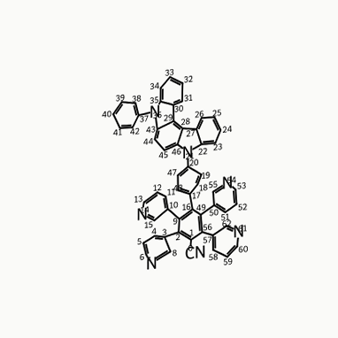 N#Cc1c(-c2cccnc2)c(-c2cccnc2)c(-c2ccc(-n3c4ccccc4c4c5c6ccccc6n(-c6ccccc6)c5ccc43)cc2)c(-c2cccnc2)c1-c1cccnc1